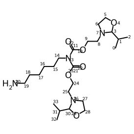 CC(C)C1OCCN1CCOC(=O)N(CCCCCCN)C(=O)OCCN1CCOC1C(C)C